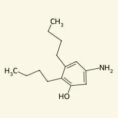 CCCCc1cc(N)cc(O)c1CCCC